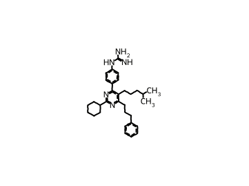 CC(C)CCCc1c(CCCc2ccccc2)nc(C2CCCCC2)nc1-c1ccc(NC(=N)N)cc1